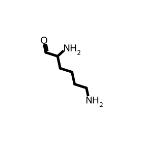 NCCCCC(N)C=O